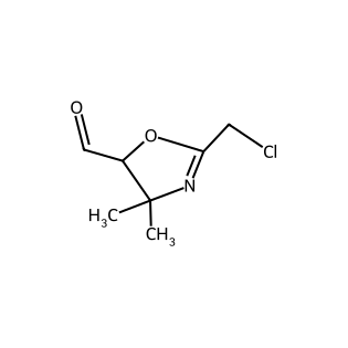 CC1(C)N=C(CCl)OC1C=O